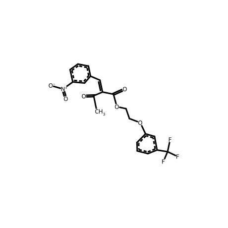 CC(=O)/C(=C\c1cccc([N+](=O)[O-])c1)C(=O)OCCOc1cccc(C(F)(F)F)c1